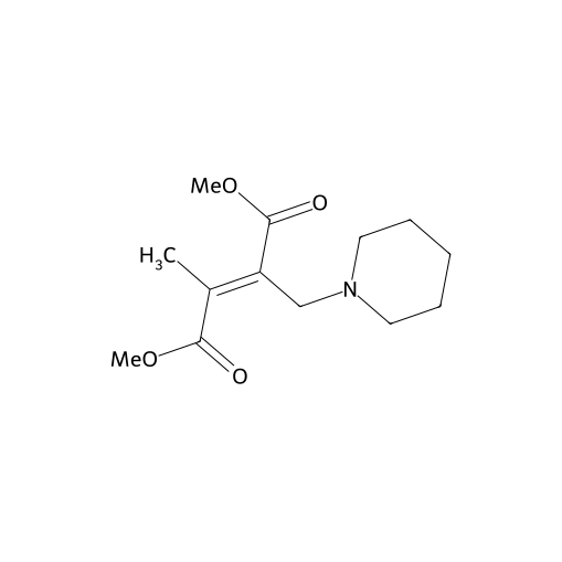 COC(=O)C(C)=C(CN1CCCCC1)C(=O)OC